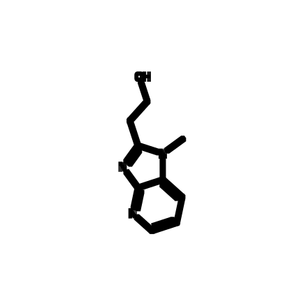 Cn1c(CCO)nc2ncccc21